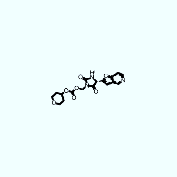 O=C(OCN1C(=O)N[C@@H](c2cc3cnccc3o2)C1=O)OC1CCOCC1